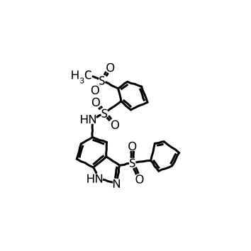 CS(=O)(=O)c1ccccc1S(=O)(=O)Nc1ccc2[nH]nc(S(=O)(=O)c3ccccc3)c2c1